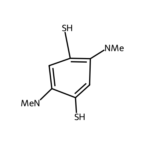 CNc1cc(S)c(NC)cc1S